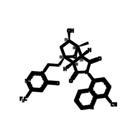 C[C@]12O[C@](CCn3cnc(C(F)(F)F)cc3=O)(C[C@@H]1O)[C@H]1C(=O)N(c3ccc(C#N)c4ncccc34)C(=O)[C@H]12